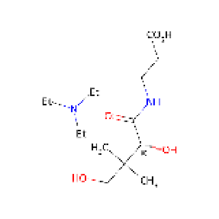 CC(C)(CO)[C@@H](O)C(=O)NCCC(=O)O.CCN(CC)CC